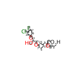 CC(C)O[C@@H](Cc1cccc(OC[C@@H](O)COc2ccc(F)c(Cl)c2)c1)C(=O)O